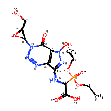 CCOP(=O)(OCC)C(Nc1nn(O)c2c(=O)n(C3OC3CO)nnc12)C(=O)O